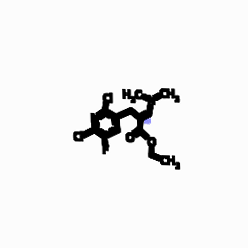 CCOC(=O)/C(=C/N(C)C)Cc1cc(F)c(Cl)nc1Cl